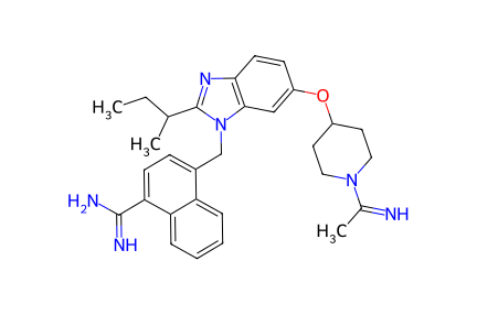 CCC(C)c1nc2ccc(OC3CCN(C(C)=N)CC3)cc2n1Cc1ccc(C(=N)N)c2ccccc12